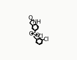 O=C1Cc2cc(S(=O)(=O)Cc3cccc(Cl)c3Cl)ccc2N1